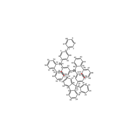 c1ccc(-c2ccc(N(c3cccc(N(c4cccc(C5(c6ccccc6)c6ccccc6-c6ccccc65)c4)c4ccccc4-c4ccccc4)c3)c3ccccc3-c3ccccc3)cc2)cc1